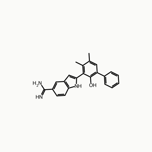 Cc1cc(-c2ccccc2)c(O)c(-c2cc3cc(C(=N)N)ccc3[nH]2)c1C